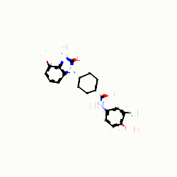 O=c1[nH]c2c(Br)cccc2n1[C@H]1CC[C@@H](C(=O)Nc2ccc(O)c(Cl)c2)CC1